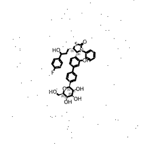 O=C1S[C@@H](CCC(O)c2ccc(F)cc2)[C@@H](c2ccc(-c3ccc([C@@H]4O[C@H](CO)[C@@H](O)[C@H](O)[C@H]4O)cc3)cc2O)N1c1ccccc1